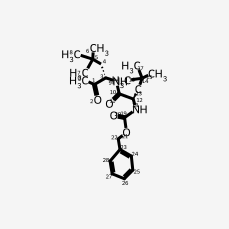 CC(=O)[C@H](CC(C)(C)C)NC(=O)[C@@H](CC(C)(C)C)NC(=O)OCc1ccccc1